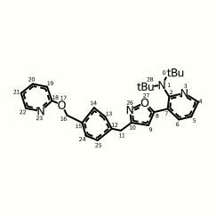 CC(C)(C)N(c1ncccc1-c1cc(Cc2ccc(COc3ccccn3)cc2)no1)C(C)(C)C